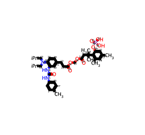 Cc1ccc(NC(=O)Nc2cc(CCC(=O)OCOC(=O)CC(C)(C)c3c(C)cc(C)cc3OP(=O)(O)O)ccc2N(CC(C)C)CC(C)C)cc1